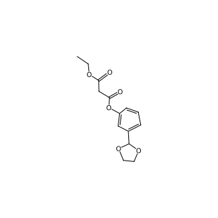 CCOC(=O)CC(=O)Oc1cccc(C2OCCO2)c1